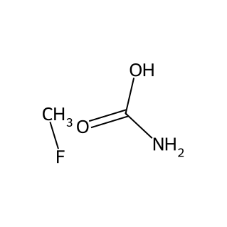 CF.NC(=O)O